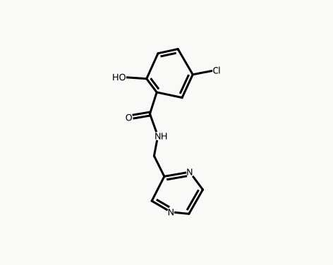 O=C(NCc1cnccn1)c1cc(Cl)ccc1O